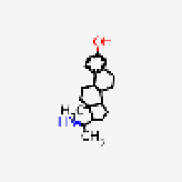 CC(=N)C1CCC2C3CCc4cc(O)ccc4C3CCC12C